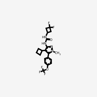 Cn1nc(NC(=O)NC2CC(F)(F)C2)c(C2CCC2)c1-c1ccc(OC(F)(F)F)cc1